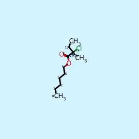 CCCCCCOC(=O)[C@@](C)(Cl)CC